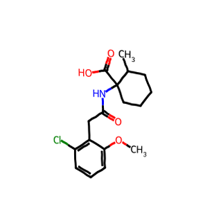 COc1cccc(Cl)c1CC(=O)NC1(C(=O)O)CCCCC1C